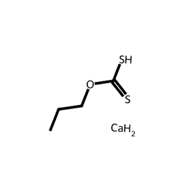 CCCOC(=S)S.[CaH2]